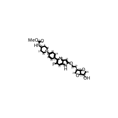 COC(=O)NC1CCN(c2ccc(-c3nc4cc(OCC[C@@H]5COC6C5OC[C@H]6O)[nH]c4cc3F)cc2)CC1